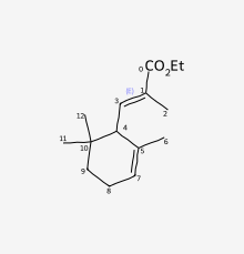 CCOC(=O)/C(C)=C/C1C(C)=CCCC1(C)C